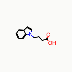 O=C(O)CCCn1ccc2ccccc21